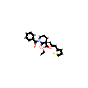 CCOC(=O)[C@@]1(CC=Cc2cccs2)CCCN(C(=O)c2ccccc2)C1=O